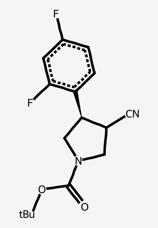 CC(C)(C)OC(=O)N1CC(C#N)[C@H](c2ccc(F)cc2F)C1